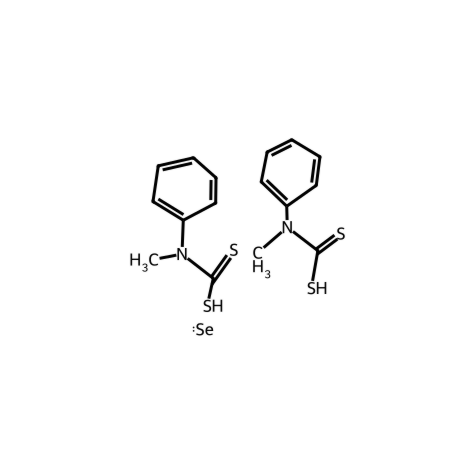 CN(C(=S)S)c1ccccc1.CN(C(=S)S)c1ccccc1.[Se]